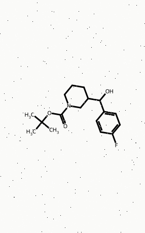 CC(C)(C)OC(=O)N1CCCC(C(O)c2ccc(F)cc2)C1